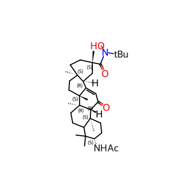 CC(=O)N[C@H]1CC[C@@]2(C)C(CC[C@]3(C)[C@@H]2C(=O)C=C2[C@@H]4C[C@@](C)(C(=O)N(O)C(C)(C)C)CC[C@]4(C)CC[C@]23C)C1(C)C